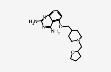 Nc1nc(N)c2c(OCC3CCN(CC4CCCO4)CC3)cccc2n1